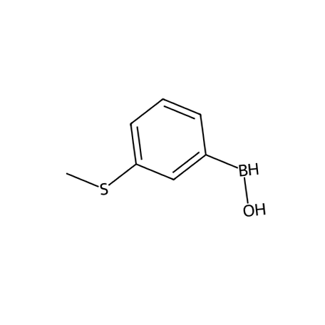 CSc1cccc(BO)c1